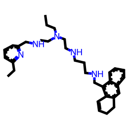 CCCN(CCNCCCNCc1c2c(cc3ccccc13)CCC=C2)CCNCc1cccc(CC)n1